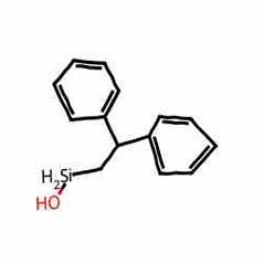 O[SiH2]CC(c1ccccc1)c1ccccc1